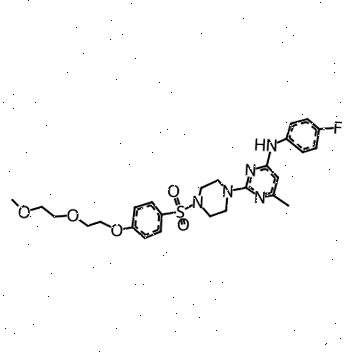 COCCOCCOc1ccc(S(=O)(=O)N2CCN(c3nc(C)cc(Nc4ccc(F)cc4)n3)CC2)cc1